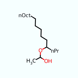 CCCCCCCCCCCCCC(CCC)OC(C)O